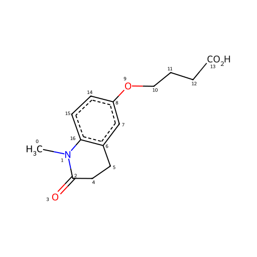 CN1C(=O)CCc2cc(OCCCC(=O)O)ccc21